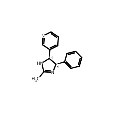 CC1=N[C@H](c2ccccc2)[C@H](c2cccnc2)N1